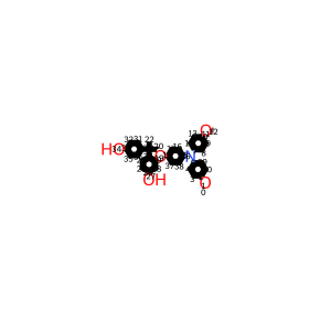 COc1ccc(N(c2ccc(OC)cc2)c2ccc(OCC(C)(c3ccc(O)cc3)c3ccc(O)cc3)cc2)cc1